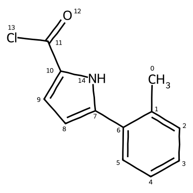 Cc1ccccc1-c1ccc(C(=O)Cl)[nH]1